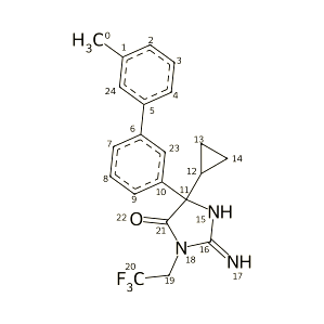 Cc1cccc(-c2cccc(C3(C4CC4)NC(=N)N(CC(F)(F)F)C3=O)c2)c1